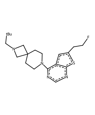 CC(C)(C)CN1CC2(CCN(c3ncnc4sc(CCF)cc34)CC2)C1